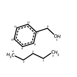 CCCCC.OCc1ccccc1